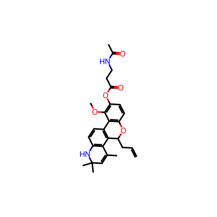 C=CCC1Oc2ccc(OC(=O)CCNC(C)=O)c(OC)c2-c2ccc3c(c21)C(C)=CC(C)(C)N3